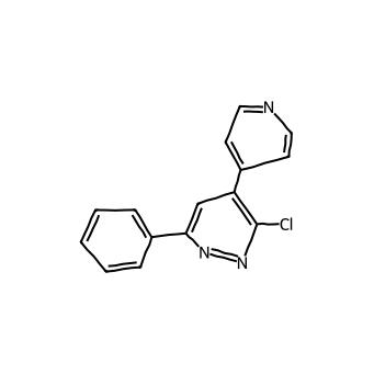 Clc1nnc(-c2ccccc2)cc1-c1ccncc1